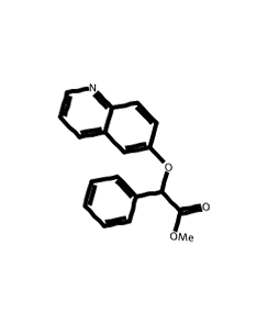 COC(=O)C(Oc1ccc2ncccc2c1)c1ccccc1